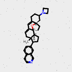 CC12CC=C3C=C4CCC(N5CCC5)C[C@]45CC[C@]3(O5)[C@@H]1CCC2c1ccc2ccncc2c1